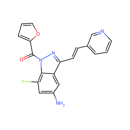 Nc1cc(F)c2c(c1)c(C=Cc1cccnc1)nn2C(=O)c1ccco1